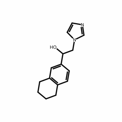 OC(Cn1ccnc1)c1ccc2c(c1)CCCC2